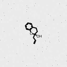 C=CCC1(O)CCc2ccccc2O1